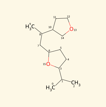 CC(C)C1CCC(CC(C)C2CCOC2)O1